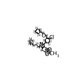 CS(=O)(=O)N1CCc2c(c(-c3ccc(Cl)c(COCc4ccccc4)c3)nn2CCCN2CCCC2)C1